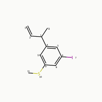 [CH2]C(C=C)c1cc(I)cc(SC)c1